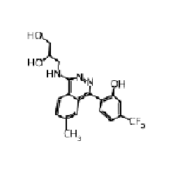 Cc1ccc2c(NC[C@@H](O)CO)nnc(-c3ccc(C(F)(F)F)cc3O)c2c1